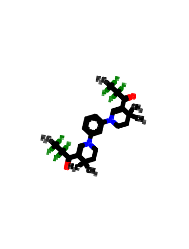 CC1(C)CCN(c2cccc(N3C=C(C(=O)C(F)(F)C(F)(F)C(F)(F)F)C(C)(C)CC3)c2)C=C1C(=O)C(F)(F)C(F)(F)C(F)(F)F